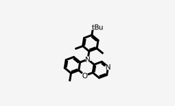 Cc1cccc2c1Oc1ccncc1N2c1c(C)cc(C(C)(C)C)cc1C